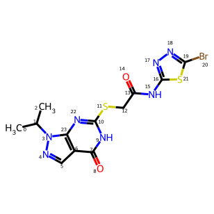 CC(C)n1ncc2c(=O)[nH]c(SCC(=O)Nc3nnc(Br)s3)nc21